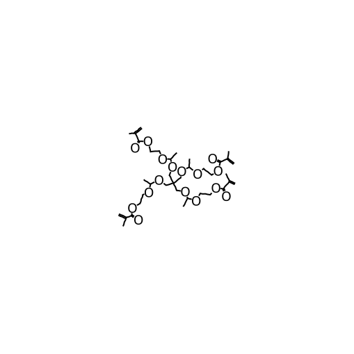 C=C(C)C(=O)OCCOC(C)OCC(COC(C)OCCOC(=O)C(=C)C)(COC(C)OCCOC(=O)C(=C)C)COC(C)OCCOC(=O)C(=C)C